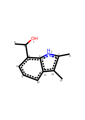 Cc1[nH]c2c(C(C)O)cccc2c1C